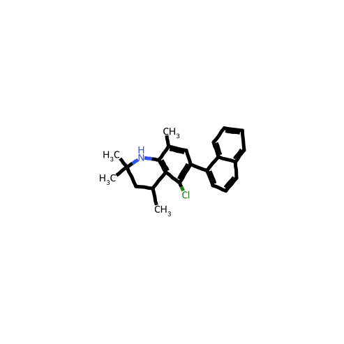 Cc1cc(-c2cccc3ccccc23)c(Cl)c2c1NC(C)(C)CC2C